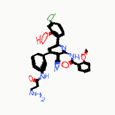 COc1ccccc1C(=O)Nc1nc(-c2ccc(Cl)cc2O)cc(-c2cccc(NC(=O)CCN)c2)c1C#N